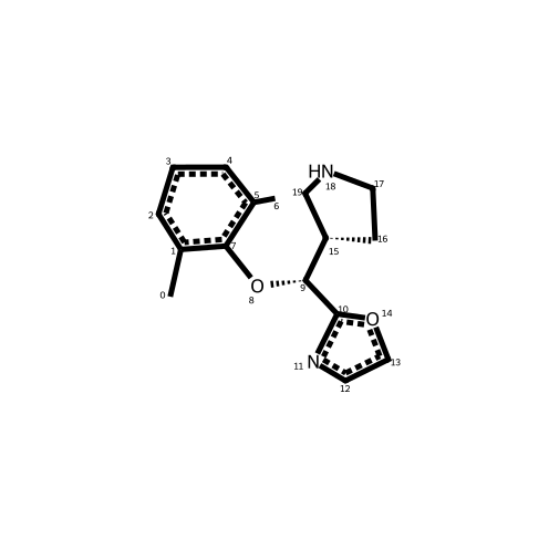 Cc1cccc(C)c1O[C@@H](c1ncco1)[C@H]1CCNC1